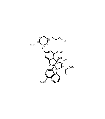 COC(=O)[C@H]1[C@@H](O)[C@@]2(O)c3c(OC)cc(O[C@@H]4O[C@@H](CCSC(C)=O)CO[C@H]4OC)cc3O[C@@]2(c2ccc(OC)cc2)[C@@H]1c1ccccc1